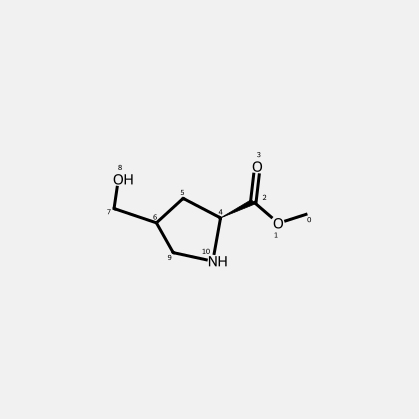 COC(=O)[C@@H]1CC(CO)CN1